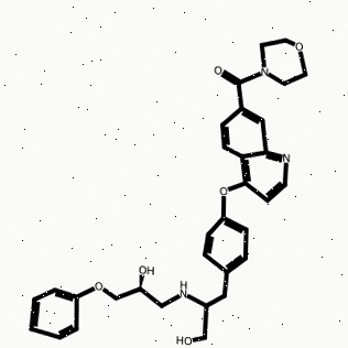 O=C(c1ccc2c(Oc3ccc(CC(CO)NC[C@H](O)COc4ccccc4)cc3)ccnc2c1)N1CCOCC1